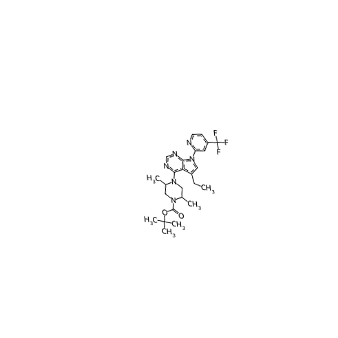 CCc1cn(-c2cc(C(F)(F)F)ccn2)c2ncnc(N3CC(C)N(C(=O)OC(C)(C)C)CC3C)c12